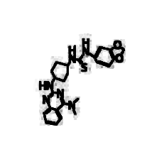 CN(C)c1nc(NC2CCC(NC(=S)Nc3ccc4c(c3)OCO4)CC2)nc2ccccc12